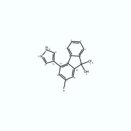 OC1(C(F)(F)F)c2ccccc2-c2c(-c3cn[nH]c3)cc(F)cc21